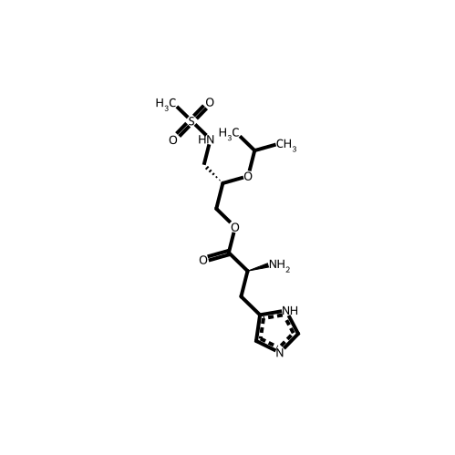 CC(C)O[C@@H](CNS(C)(=O)=O)COC(=O)[C@@H](N)Cc1cnc[nH]1